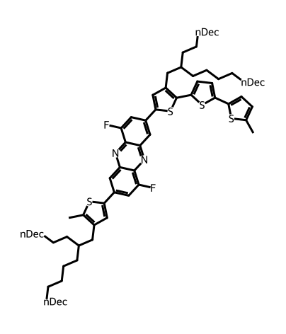 CCCCCCCCCCCCCCC(CCCCCCCCCCCC)Cc1cc(-c2cc(F)c3nc4cc(-c5cc(CC(CCCCCCCCCCCC)CCCCCCCCCCCCCC)c(-c6ccc(-c7ccc(C)s7)s6)s5)cc(F)c4nc3c2)sc1C